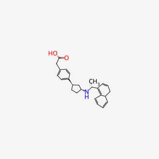 C[C@@H](N[C@H]1CC[C@@H](c2ccc(CC(=O)O)cc2)C1)C1=C2C=CC=CC2CC=C1